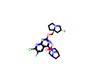 CC(C)(C)OC(=O)N1C2CCC1CN(c1nc(OC[C@@]34CCCN3C[C@H](F)C4)nc3nc(Cl)c(F)cc13)C2